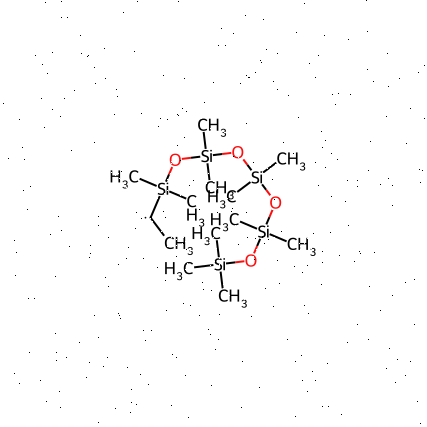 C[CH][Si](C)(C)O[Si](C)(C)O[Si](C)(C)O[Si](C)(C)O[Si](C)(C)C